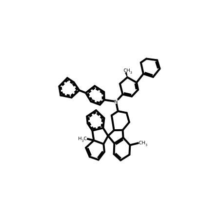 CC1CC=CC2=C1C1CCC(N(C3=CC=C(C4=CC=CCC4)[C@H](C)C3)c3ccc(-c4ccccc4)cc3)CC1C21c2ccccc2C2(C)C=CC=CC21